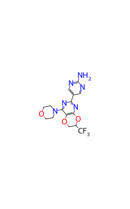 Nc1ncc(-c2nc3c(c(N4CCOCC4)n2)OCC(C(F)(F)F)O3)cn1